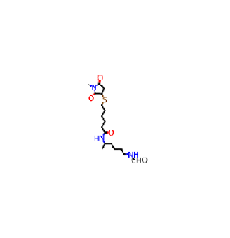 CC(CCCCNC=O)NC(=O)CCCCCSC1CC(=O)N(C)C1=O